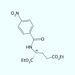 CCOC(=O)CC[C@@H](NC(=O)c1ccc([N+](=O)[O-])cc1)C(=O)OCC